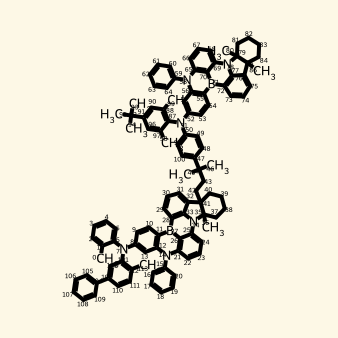 Cc1ccccc1N(c1ccc2c(c1)N(c1ccccc1)c1cccc3c1B2c1cccc2c1N3C1(C)CCCCC21CCC(C)(C)c1ccc(N(c2ccc3c(c2)N(c2ccccc2)c2cccc4c2B3c2cccc3c2N4C2(C)CCCCC32C)c2c(C)cc(C(C)(C)C)cc2C)cc1)c1cc(-c2ccccc2)ccc1C